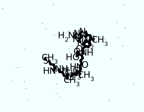 CSCCCC(=N)NCCCC(C)(C)OCCC(C)(C)CNC(=O)CCC(NC(=O)c1ccc(N(C)Cc2cnc3nc(N)nc(N)c3n2)cc1)C(=O)O